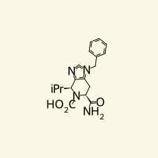 CC(C)[C@H]1c2ncn(Cc3ccccc3)c2C[C@@H](C(N)=O)N1C(=O)O